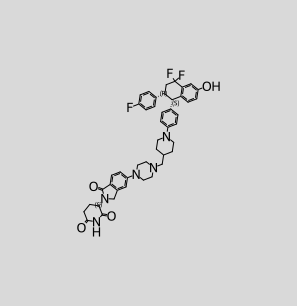 O=C1CC[C@H](N2Cc3cc(N4CCN(CC5CCN(c6ccc([C@H]7c8ccc(O)cc8C(F)(F)C[C@H]7c7ccc(F)cc7)cc6)CC5)CC4)ccc3C2=O)C(=O)N1